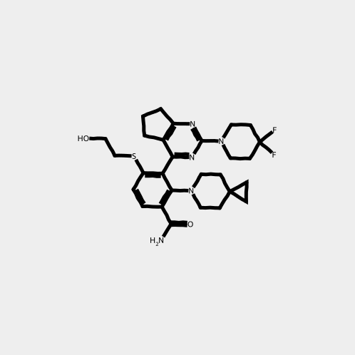 NC(=O)c1ccc(SCCO)c(-c2nc(N3CCC(F)(F)CC3)nc3c2CCC3)c1N1CCC2(CC1)CC2